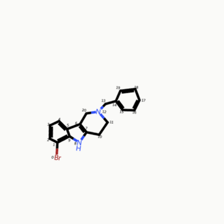 Brc1cccc2c3c([nH]c12)CCN(Cc1ccccc1)C3